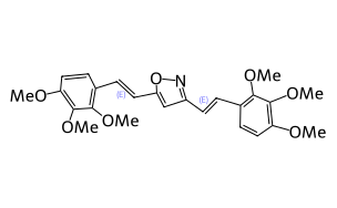 COc1ccc(/C=C/c2cc(/C=C/c3ccc(OC)c(OC)c3OC)on2)c(OC)c1OC